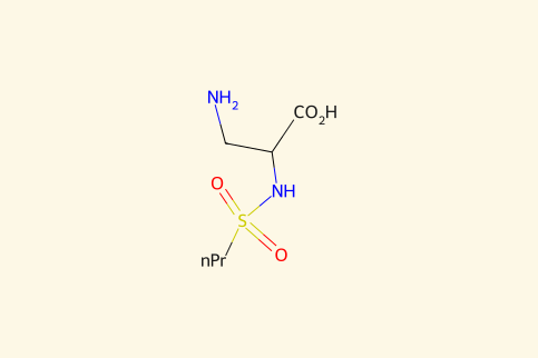 CCCS(=O)(=O)NC(CN)C(=O)O